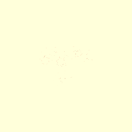 C[C@H]1CN2CCC[C@@]2(COc2nc3c(c(N4CCCn5nc(C(=O)N(C)C)cc5C4)n2)CN(C)[C@@]2(CCCc4ccccc42)C3)C1